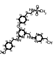 CCc1cnc(NCc2cc(Oc3ccc(CCNS(C)(=O)=O)cc3)nc(NCc3ccc(OC)cc3)n2)nc1